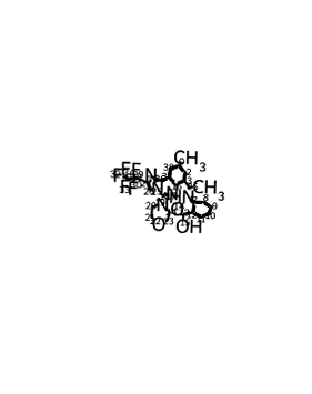 Cc1cc(C(C)Nc2ccccc2C(=O)O)c2nc(N3CCOCC3)n3cc(C(F)(F)C(F)(F)F)nc3c2c1